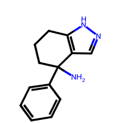 NC1(c2ccccc2)CCCc2[nH]ncc21